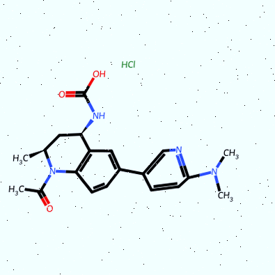 CC(=O)N1c2ccc(-c3ccc(N(C)C)nc3)cc2[C@H](NC(=O)O)C[C@@H]1C.Cl